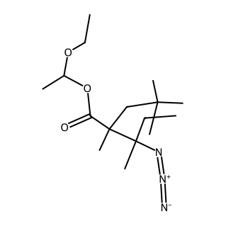 CCOC(C)OC(=O)C(C)(CC(C)(C)C)C(C)(CC)N=[N+]=[N-]